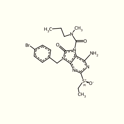 CCCN(C)C(=O)n1c(=O)n(Cc2ccc(Br)cc2)c2nc([S@@+]([O-])CC)nc(N)c21